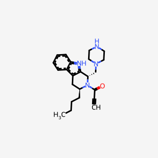 C#CC(=O)N1[C@@H](CCCC)Cc2c([nH]c3ccccc23)[C@@H]1CN1CCNCC1